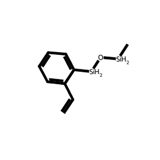 C=Cc1ccccc1[SiH2]O[SiH2]C